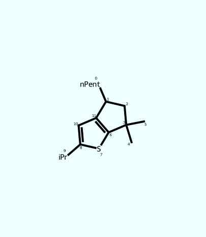 CCCCCC1CC(C)(C)c2sc(C(C)C)cc21